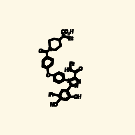 CCNC(=O)c1nnc(-c2cc(C(C)C)c(O)cc2O)n1-c1ccc(Oc2ccc(C(=O)N3CCC(N(CC)C(=O)O)CC3)cc2)cc1